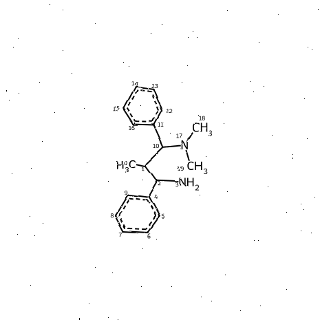 CC(C(N)c1ccccc1)C(c1ccccc1)N(C)C